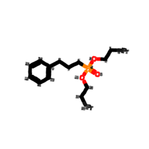 CC(C)CCOP(=O)(CCCc1ccccc1)OCCC(C)C